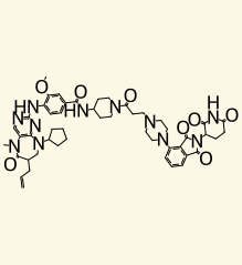 C=CCC1CN(C2CCCC2)c2nc(Nc3ccc(C(=O)NC4CCN(C(=O)CCN5CCN(c6cccc7c6C(=O)N(C6CCC(=O)NC6=O)C7=O)CC5)CC4)cc3OC)ncc2N(C)C1=O